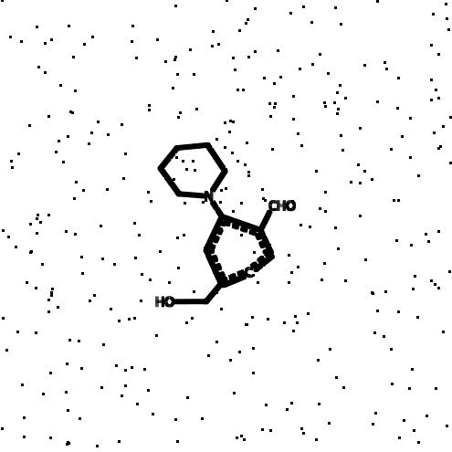 O=Cc1ccc(CO)cc1N1CCCCC1